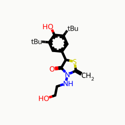 C=C1SC(c2cc(C(C)(C)C)c(O)c(C(C)(C)C)c2)C(=O)N1NCCO